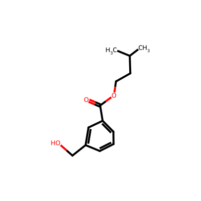 CC(C)CCOC(=O)c1cccc(CO)c1